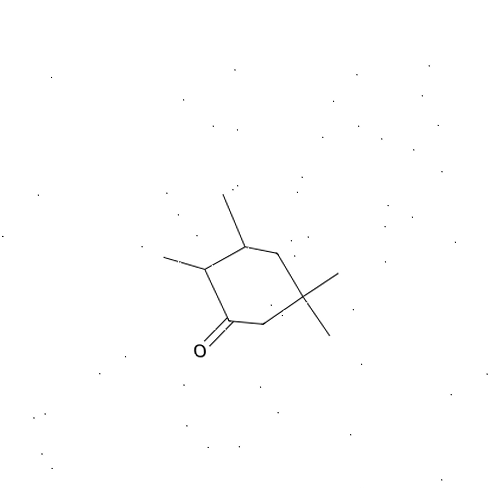 CC1CC(C)(C)CC(=O)C1C